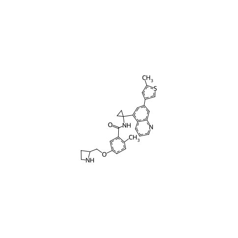 Cc1cc(-c2cc(C3(NC(=O)c4cc(OCC5CCN5)ccc4C)CC3)c3cccnc3c2)cs1